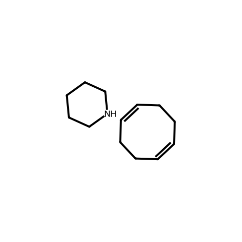 C1=C\CC/C=C\CC/1.C1CCNCC1